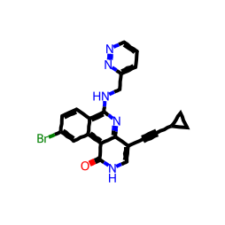 O=c1[nH]cc(C#CC2CC2)c2nc(NCc3cccnn3)c3ccc(Br)cc3c12